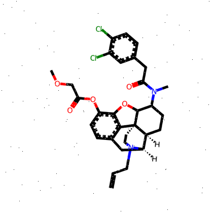 C=CCN1CC[C@]23c4c5ccc(OC(=O)COC)c4OC2C(N(C)C(=O)Cc2ccc(Cl)c(Cl)c2)CC[C@H]3[C@H]1C5